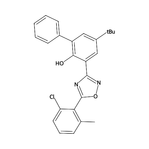 Cc1cccc(Cl)c1-c1nc(-c2cc(C(C)(C)C)cc(-c3ccccc3)c2O)no1